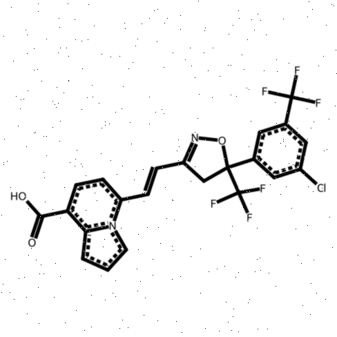 O=C(O)c1ccc(/C=C/C2=NOC(c3cc(Cl)cc(C(F)(F)F)c3)(C(F)(F)F)C2)n2cccc12